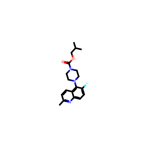 Cc1ccc2c(N3CCN(C(=O)OCC(C)C)CC3)c(F)ccc2n1